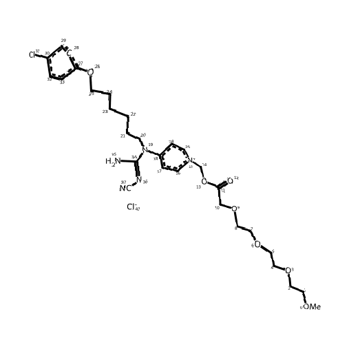 COCCOCCOCCOCC(=O)OC[n+]1ccc(N(CCCCCCOc2ccc(Cl)cc2)C(N)=NC#N)cc1.[Cl-]